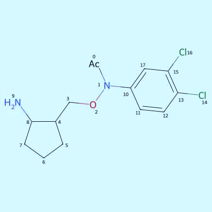 CC(=O)N(OCC1CCCC1N)c1ccc(Cl)c(Cl)c1